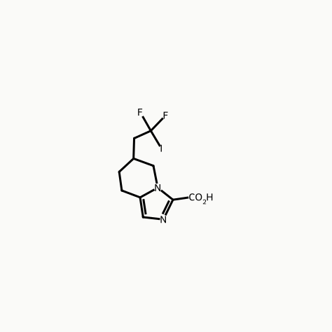 O=C(O)c1ncc2n1CC(CC(F)(F)I)CC2